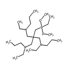 CCCN(CC)CC(CN(CC)CCC)(CN(CC)CCC)C[Si](CC)(OC)OC